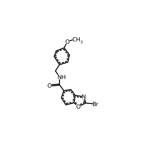 COc1ccc(CNC(=O)c2ccc3oc(Br)nc3c2)cc1